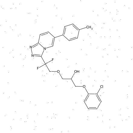 Cc1ccc(-c2ccc3nnc(C(F)(F)COCC(O)COc4ccccc4Cl)n3c2)cc1